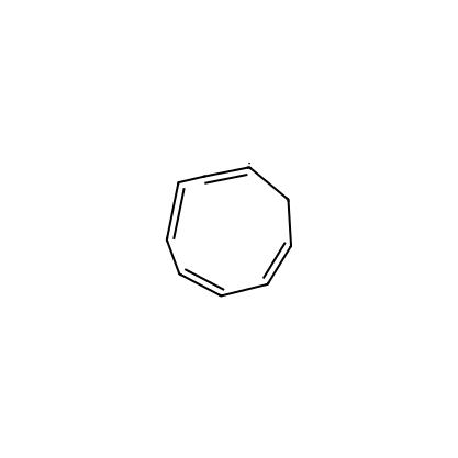 [C]1=CC=CC=CC=CC1